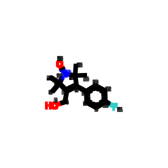 CC1(C)C(CO)=C(c2ccc(F)cc2)C(C)(C)[N+]1=O